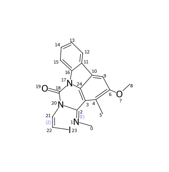 C/N=c1\c2c(C)c(OC)cc3c4ccccc4n(c(=O)n1/C=C\I)c23